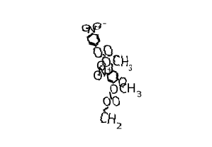 C=CCOC(=O)COc1cc([N+](=O)[O-])c(C(C)OC(=O)Oc2ccc([N+](=O)[O-])cc2)cc1OC